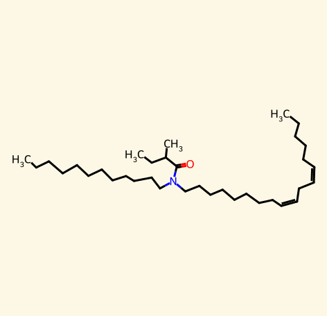 CCCCC/C=C\C/C=C\CCCCCCCCN(CCCCCCCCCCCC)C(=O)C(C)CC